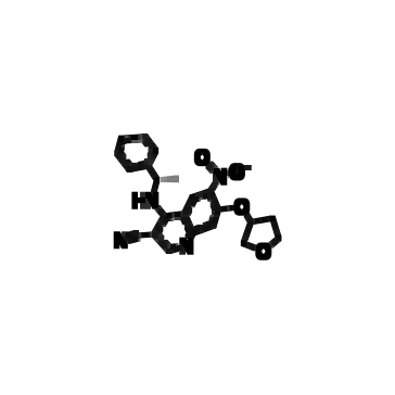 C[C@H](Nc1c(C#N)cnc2cc(OC3CCOC3)c([N+](=O)[O-])cc12)c1ccccc1